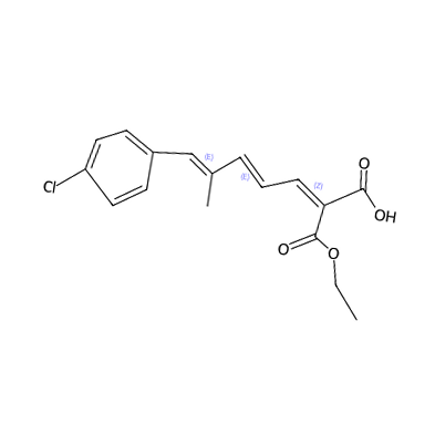 CCOC(=O)\C(=C/C=C/C(C)=C/c1ccc(Cl)cc1)C(=O)O